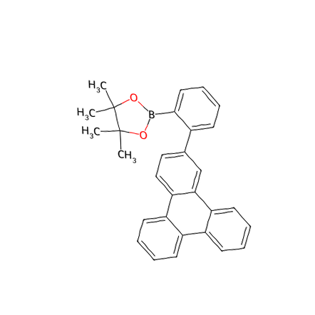 CC1(C)OB(c2ccccc2-c2ccc3c4ccccc4c4ccccc4c3c2)OC1(C)C